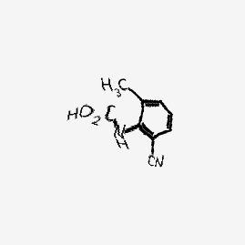 Cc1cccc(C#N)c1NC(=O)O